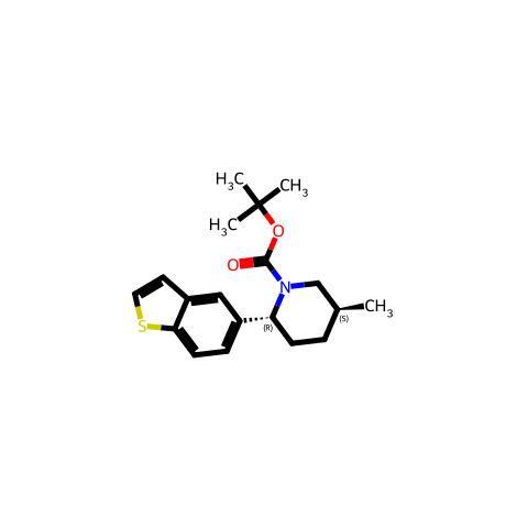 C[C@H]1CC[C@H](c2ccc3sccc3c2)N(C(=O)OC(C)(C)C)C1